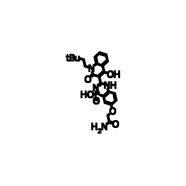 CC(C)(C)CCn1c(=O)c(C2=NP(=O)(O)c3cc(OCC(N)=O)ccc3N2)c(O)c2ccccc21